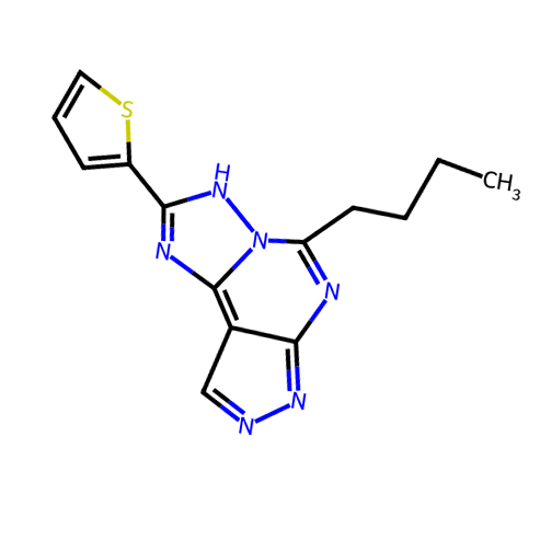 CCCCc1nc2nncc-2c2nc(-c3cccs3)[nH]n12